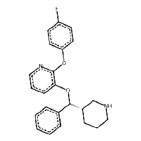 Fc1ccc(Oc2ncccc2OC(c2ccccc2)[C@H]2CCCNC2)cc1